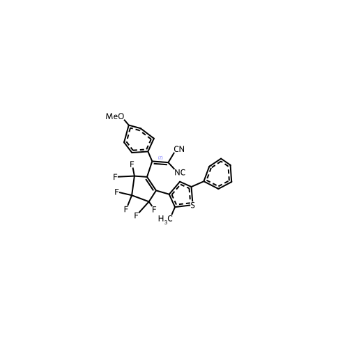 [C-]#[N+]/C(C#N)=C(\C1=C(c2cc(-c3ccccc3)sc2C)C(F)(F)C(F)(F)C1(F)F)c1ccc(OC)cc1